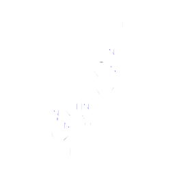 CCc1nc2ccc(Cl)cn2c1C(=O)NCc1ccc2nc(N3CCC(F)CC3)ccc2c1